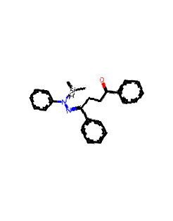 C[SiH](C)N(N=C(CCC(=O)c1ccccc1)c1ccccc1)c1ccccc1